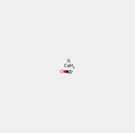 [CaH2].[O]=[Zr].[Ti]